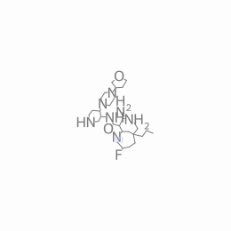 CCCC1(CC)CCC(F)/C=N\C(C(C(=O)NC2CNCCC2N2CCN(C3CCOC3)CC2)C(N)N)C1